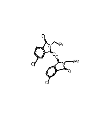 CC(C)CN1C(=O)c2ccc(Cl)cc2C1=O.CC(C)CN1C(=O)c2ccc(Cl)cc2C1=O